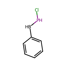 ClPBc1ccccc1